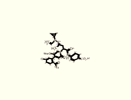 C=CN(/N=C(\C)CC(C(=O)Nc1ccc(C(=O)O)cc1)n1cc(OC)c(-c2cc(Cl)ccc2C(=O)CC)cc1=O)C1CC1